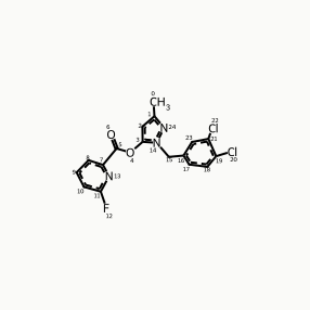 Cc1cc(OC(=O)c2cccc(F)n2)n(Cc2ccc(Cl)c(Cl)c2)n1